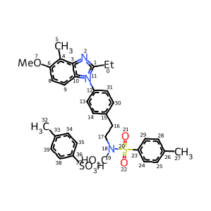 CCc1nc2c(C)c(OC)ccc2n1-c1ccc(CCN(C(=O)O)S(=O)(=O)c2ccc(C)cc2)cc1.Cc1ccc(S(=O)(=O)O)cc1